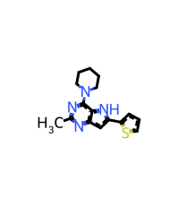 Cc1nc(N2CCCCC2)c2[nH]c(-c3cccs3)cc2n1